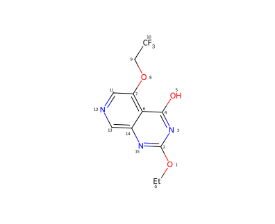 CCOc1nc(O)c2c(OCC(F)(F)F)cncc2n1